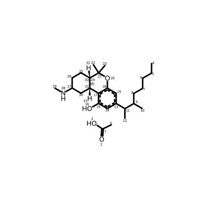 CC(=O)O.CCCCCC(C)C(C)c1cc(O)c2c(c1)OC(C)(C)[C@H]1CCC(NC)C[C@@H]21